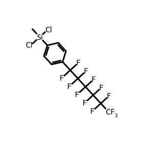 C[Si](Cl)(Cl)c1ccc(C(F)(F)C(F)(F)C(F)(F)C(F)(F)C(F)(F)C(F)(F)F)cc1